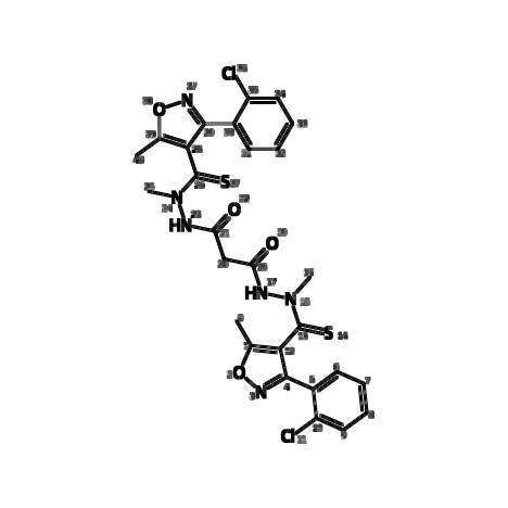 Cc1onc(-c2ccccc2Cl)c1C(=S)N(C)NC(=O)CC(=O)NN(C)C(=S)c1c(-c2ccccc2Cl)noc1C